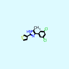 Cc1[nH]c(-c2ccsc2)nc1-c1cc(Cl)cc(Cl)c1